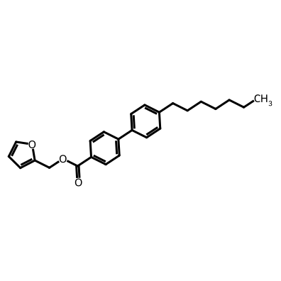 CCCCCCCc1ccc(-c2ccc(C(=O)OCc3ccco3)cc2)cc1